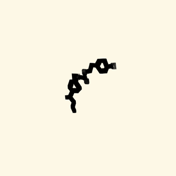 CCCC(C)c1ccc(NC(=O)OCCc2ccc(Cl)cc2)cc1